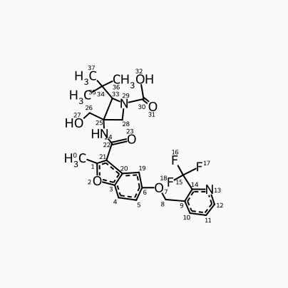 Cc1oc2ccc(OCc3cccnc3C(F)(F)F)cc2c1C(=O)NC1(CO)CN(C(=O)O)C1C(C)(C)C